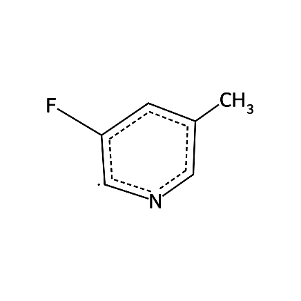 Cc1cn[c]c(F)c1